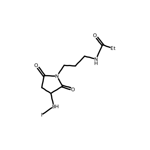 CCC(=O)NCCCN1C(=O)CC(BI)C1=O